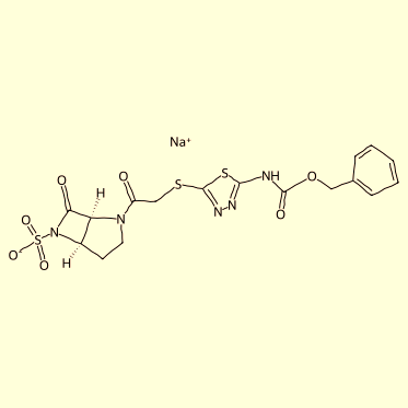 O=C(Nc1nnc(SCC(=O)N2CC[C@@H]3[C@H]2C(=O)N3S(=O)(=O)[O-])s1)OCc1ccccc1.[Na+]